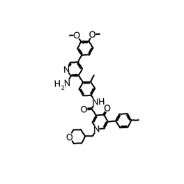 COc1ccc(-c2cnc(N)c(-c3ccc(NC(=O)c4cn(CC5CCOCC5)cc(-c5ccc(C)cc5)c4=O)cc3C)c2)cc1OC